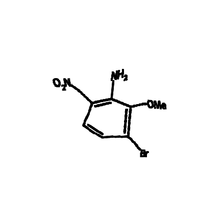 COc1c(Br)ccc([N+](=O)[O-])c1N